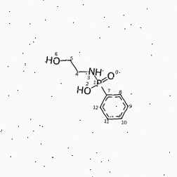 O=P(O)(NCCO)c1ccccc1